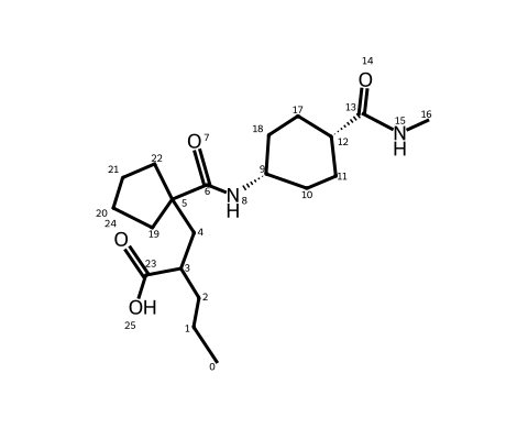 CCCC(CC1(C(=O)N[C@H]2CC[C@@H](C(=O)NC)CC2)CCCC1)C(=O)O